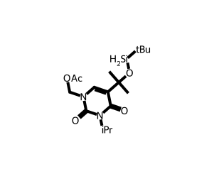 CC(=O)OCn1cc(C(C)(C)O[SiH2]C(C)(C)C)c(=O)n(C(C)C)c1=O